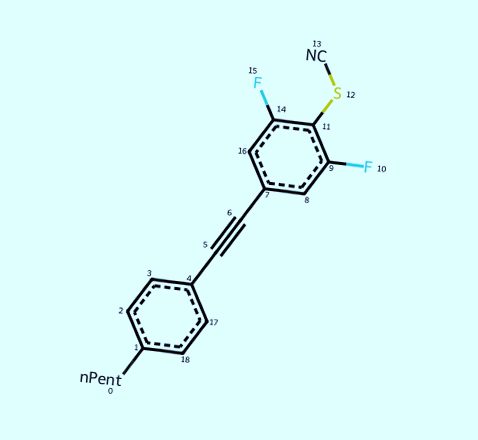 CCCCCc1ccc(C#Cc2cc(F)c(SC#N)c(F)c2)cc1